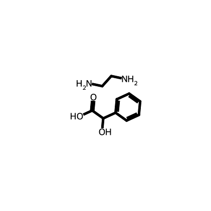 NCCN.O=C(O)C(O)c1ccccc1